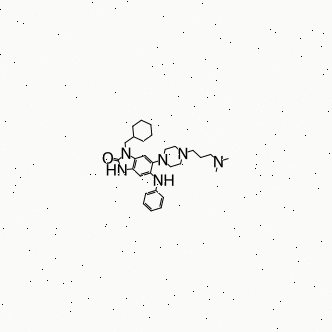 CN(C)CCCN1CCN(c2cc3c(cc2Nc2ccccc2)[nH]c(=O)n3CC2CCCCC2)CC1